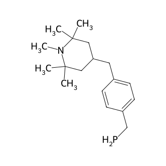 CN1C(C)(C)CC(Cc2ccc(CP)cc2)CC1(C)C